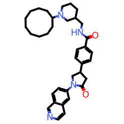 O=C(NCC1CCCN(C2CCCCCCCCC2)C1)c1ccc(C2CC(=O)N(c3ccc4cnccc4c3)C2)cc1